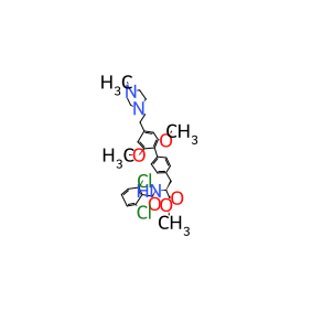 CCOC(=O)[C@H](Cc1ccc(-c2c(OC)cc(CCN3CCN(C)CC3)cc2OC)cc1)NC(=O)c1c(Cl)cccc1Cl